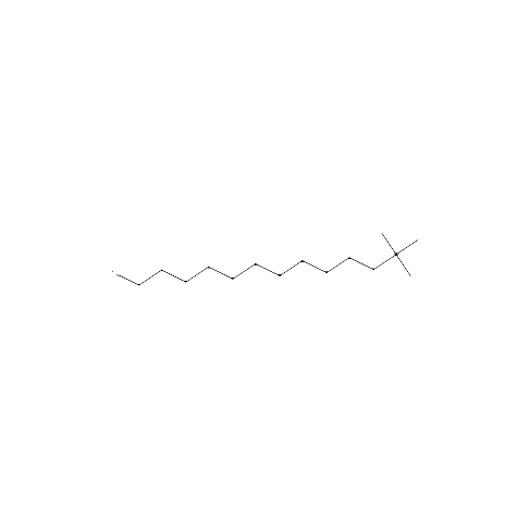 CC(C)(C)CCCCCCCCCCCN